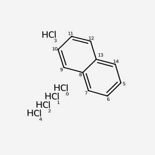 Cl.Cl.Cl.Cl.Cl.c1ccc2ccccc2c1